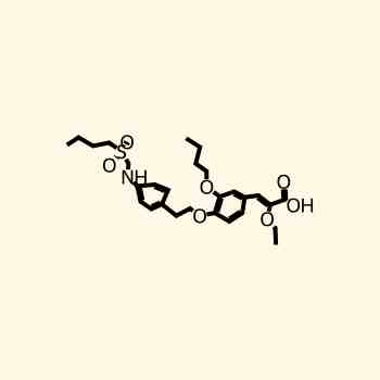 CCCCOc1cc(/C=C(\OCC)C(=O)O)ccc1OCCc1ccc(NCS(=O)(=O)CCCC)cc1